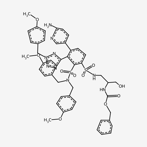 COc1ccc(CN(Cc2ccc(OC)cc2)S(=O)(=O)c2c(S(=O)(=O)NCC(CO)NC(=O)OCc3ccccc3)ccc(-c3ccc(N)nc3)c2-c2nnn(Cc3ccc(OC)cc3)n2)cc1